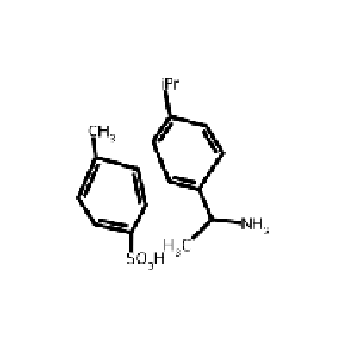 CC(C)c1ccc(C(C)N)cc1.Cc1ccc(S(=O)(=O)O)cc1